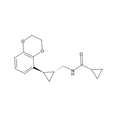 O=C(NC[C@@H]1C[C@H]1c1cccc2c1OCCO2)C1CC1